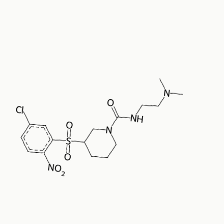 CN(C)CCNC(=O)N1CCCC(S(=O)(=O)c2cc(Cl)ccc2[N+](=O)[O-])C1